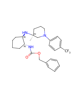 C[C@]1(N[C@@H]2CCCC[C@H]2NC(=O)OCc2ccccc2)CCCN(c2ccc(C(F)(F)F)cc2)C1